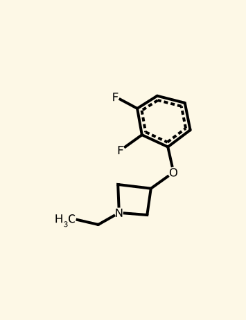 CCN1CC(Oc2cccc(F)c2F)C1